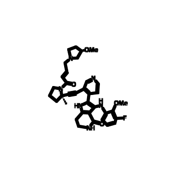 COc1c(F)cccc1Nc1c(-c2ccncc2C#C[C@@]2(C)CCCN2C(=O)/C=C/CN2CC[C@@H](OC)C2)[nH]c2c1C(=O)NCC2